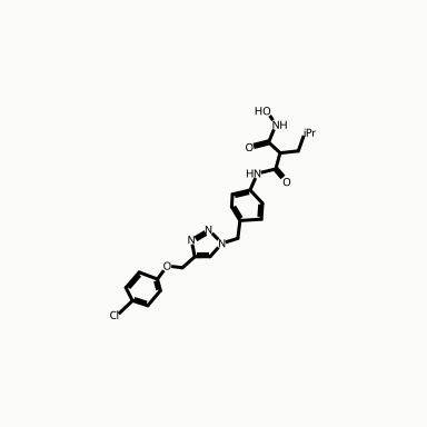 CC(C)CC(C(=O)NO)C(=O)Nc1ccc(Cn2cc(COc3ccc(Cl)cc3)nn2)cc1